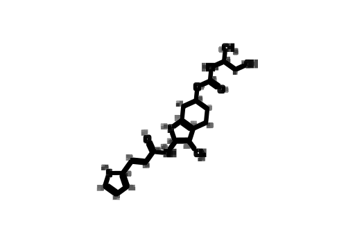 CC(CO)NC(=O)OC1CCc2c(sc(NC(=O)C=Cc3cccs3)c2C#N)C1